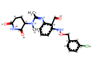 C/C(=N/c1cccc(NOCc2cccc(Cl)c2)c1C=O)N(C)C1CCC(=O)NC1=O